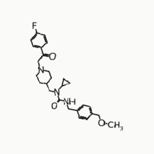 COCc1ccc(CNC(=O)N(CC2CCN(CC(=O)c3ccc(F)cc3)CC2)C2CC2)cc1